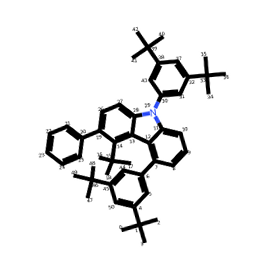 CC(C)(C)c1cc(-c2cccc3c2c2c(C(C)(C)C)c(-c4ccccc4)ccc2n3-c2cc(C(C)(C)C)cc(C(C)(C)C)c2)cc(C(C)(C)C)c1